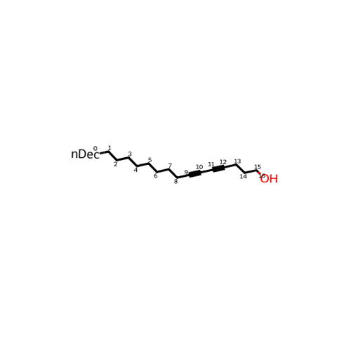 CCCCCCCCCCCCCCCCCCC#CC#CCCCO